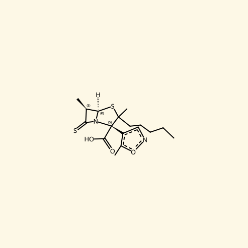 CCCCCC1(C)S[C@@H]2[C@H](C)C(=S)N2[C@]1(C(=O)O)c1cnoc1C